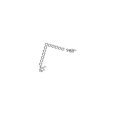 [Cl-].[Cl-].[Cl-].[Cl-].[Cl-].[Cl-].[Cl-].[Cl-].[Cl-].[Cl-].[Cl-].[Cl-].[Eu+3].[Gd+3].[Sm+3].[Tb+3]